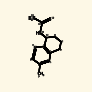 Cc1cnc2c(c1)CCCC2NC(N)=S